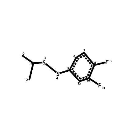 CC(C)SSc1ccc(F)c(F)c1